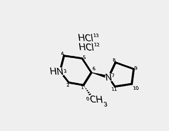 C[C@@H]1CNCC[C@H]1N1CCCC1.Cl.Cl